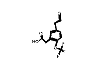 O=CCc1ccc(OC(F)(F)F)c(CC(=O)O)c1